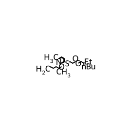 C=CCC[C@@H](C)Oc1nc(C)ccc1SCCC(=O)OC[C@H](CC)CCCC